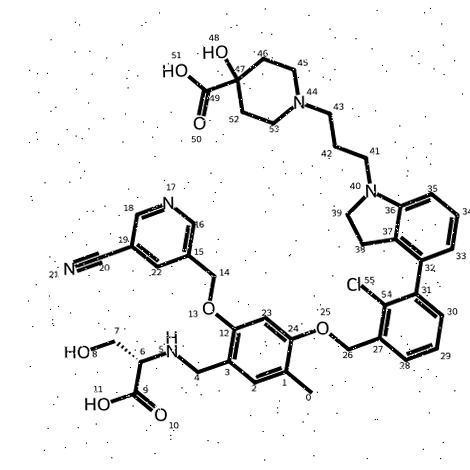 Cc1cc(CN[C@@H](CO)C(=O)O)c(OCc2cncc(C#N)c2)cc1OCc1cccc(-c2cccc3c2CCN3CCCN2CCC(O)(C(=O)O)CC2)c1Cl